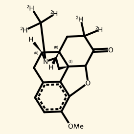 [2H]C1([2H])C[C@H]2[C@H]3Cc4ccc(OC)c5c4[C@@]2(CCN3C([2H])([2H])[2H])C(O5)C1=O